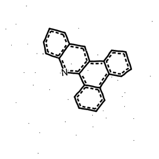 [c]1cccc2cc3c4ccccc4c4ccccc4c3nc12